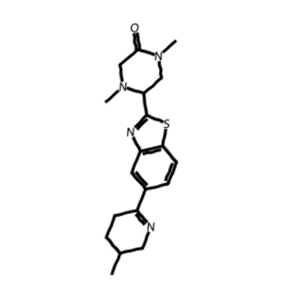 CC1CCC(c2ccc3sc(C4CN(C)C(=O)CN4C)nc3c2)=NC1